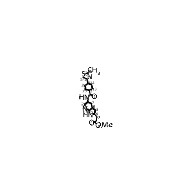 COC(=O)Cc1cc2cc(NC(=O)c3ccc(-c4csc(C)n4)cc3)cnc2[nH]1